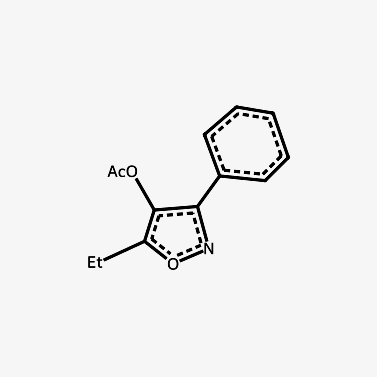 CCc1onc(-c2ccccc2)c1OC(C)=O